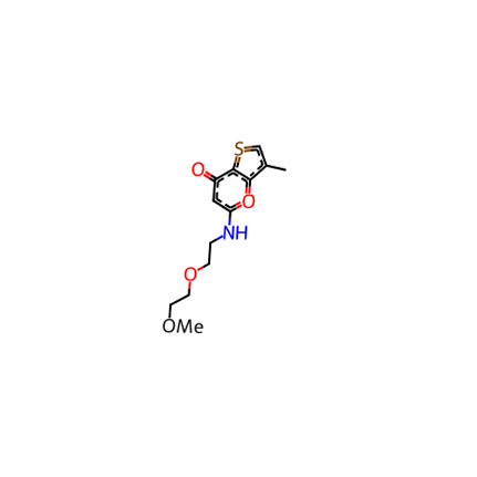 COCCOCCNc1cc(=O)c2scc(C)c2o1